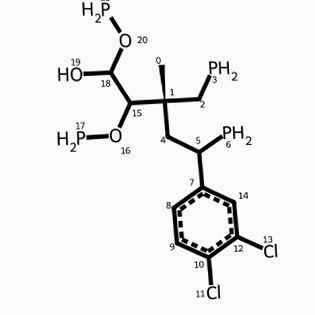 C[C@@](CP)(CC(P)c1ccc(Cl)c(Cl)c1)C(OP)C(O)OP